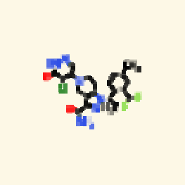 Cc1ccc(C(C)n2nc(C(N)=O)c3c2CCN(c2cn[nH]c(=O)c2Cl)C3)c(C(F)F)c1